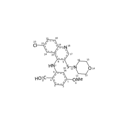 COc1ccc(C(=O)O)c(Nc2c(SN3CCOCC3)cnc3ccc(Cl)cc23)c1